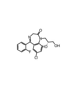 O=C1CN=C(c2ccccc2F)c2cc(Cl)ccc2N1C[C@@H](O)CO